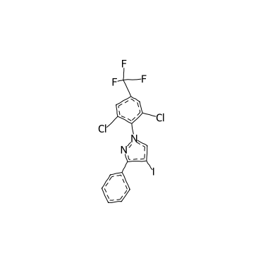 FC(F)(F)c1cc(Cl)c(-n2cc(I)c(-c3ccccc3)n2)c(Cl)c1